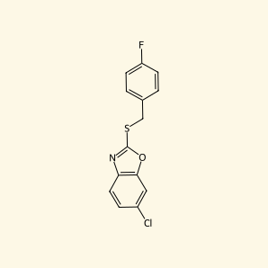 Fc1ccc(CSc2nc3ccc(Cl)cc3o2)cc1